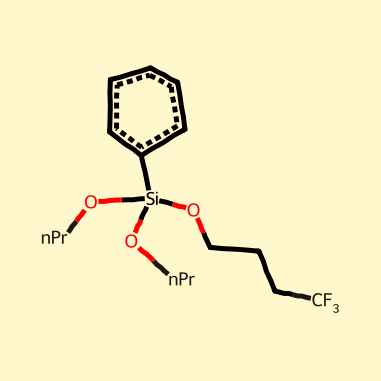 CCCO[Si](OCCC)(OCCCC(F)(F)F)c1ccccc1